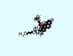 CCCCCOC(=O)OCC(=O)[C@@]1(OC(=O)CCCO[N+](=O)[O-])[C@@H](C)CC2C3CCC4=CC(=O)C=C[C@]4(C)[C@@]3(F)[C@@H](O)C[C@@]21C